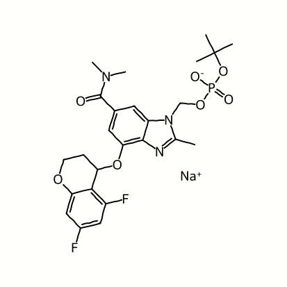 Cc1nc2c(OC3CCOc4cc(F)cc(F)c43)cc(C(=O)N(C)C)cc2n1COP(=O)([O-])OC(C)(C)C.[Na+]